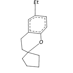 CCc1ccc2c(c1)CCC1(CCCC1)O2